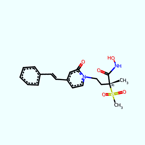 C[C@@](CCn1ccc(C=Cc2ccccc2)cc1=O)(C(=O)NO)S(C)(=O)=O